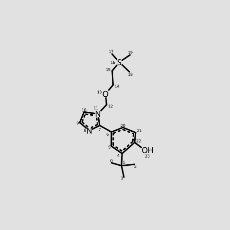 CC(C)(C)c1cc(-c2nccn2COCCS(C)(C)C)ccc1O